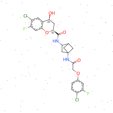 O=C(COc1ccc(Cl)c(F)c1)NC12CC(C1)C(NC(=O)[C@@H]1C[C@H](O)c3cc(Cl)c(F)cc3O1)C2